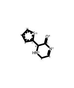 O=C1N=CCNC1c1cccs1